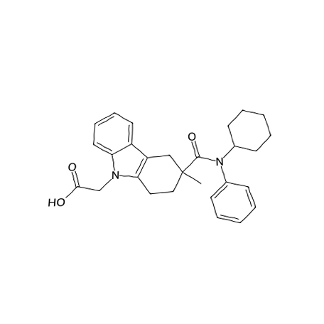 CC1(C(=O)N(c2ccccc2)C2CCCCC2)CCc2c(c3ccccc3n2CC(=O)O)C1